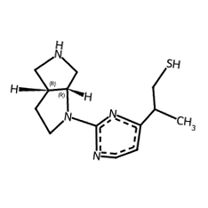 CC(CS)c1ccnc(N2CC[C@@H]3CNC[C@@H]32)n1